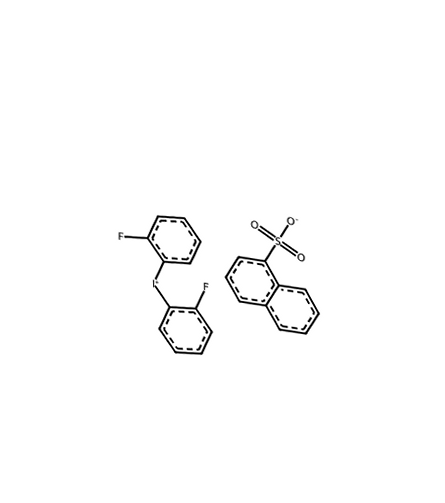 Fc1ccccc1[I+]c1ccccc1F.O=S(=O)([O-])c1cccc2ccccc12